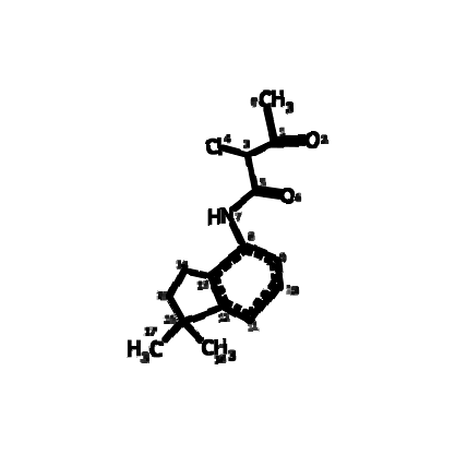 CC(=O)C(Cl)C(=O)Nc1cccc2c1CCC2(C)C